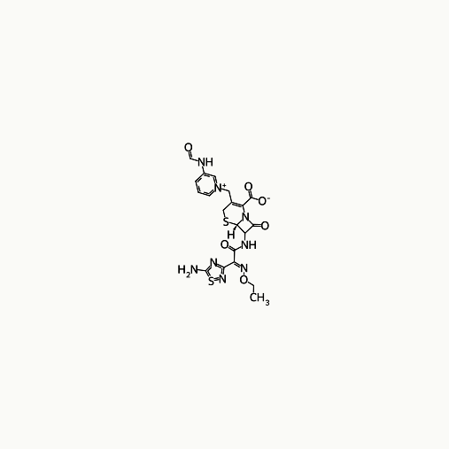 CCON=C(C(=O)NC1C(=O)N2C(C(=O)[O-])=C(C[n+]3cccc(NC=O)c3)CS[C@@H]12)c1nsc(N)n1